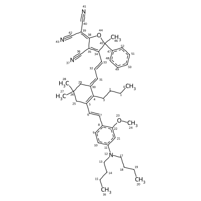 CCCCC1=C(/C=C/c2ccc(N(CCCC)CCCC)cc2OC)CC(C)(C)C/C1=C\C=C\C1=C(C#N)C(=C(C#N)C#N)OC1(C)c1ccccc1